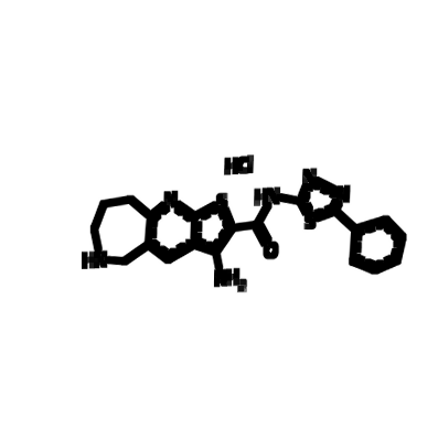 Cl.Nc1c(C(=O)Nc2nnc(-c3ccccc3)s2)sc2nc3c(cc12)CNCCC3